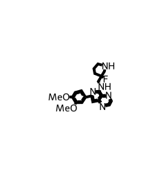 COc1ccc(-c2cc3nccnc3c(NCC3(F)CCCNC3)n2)cc1OC